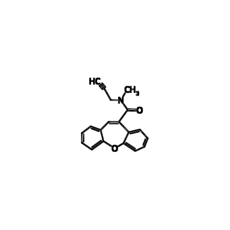 C#CCN(C)C(=O)C1=Cc2ccccc2Oc2ccccc21